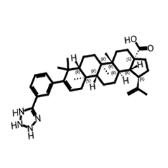 C=C(C)[C@@H]1CC[C@]2(C(=O)O)CC[C@]3(C)[C@H](CC[C@@H]4[C@@]5(C)CC=C(c6cccc(C7=NNNN7)c6)C(C)(C)[C@@H]5CC[C@]43C)[C@@H]12